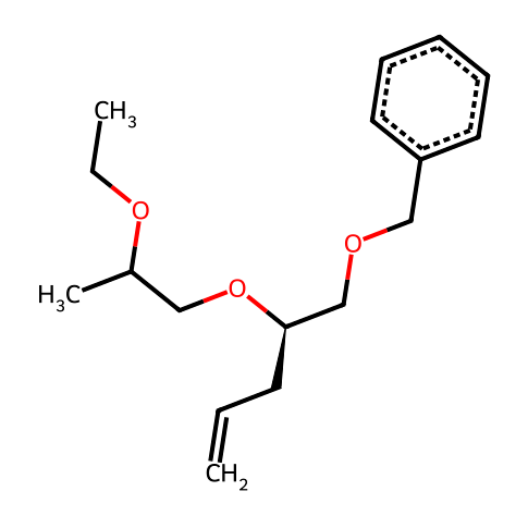 C=CC[C@H](COCc1ccccc1)OCC(C)OCC